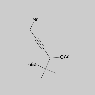 CCCCC(C)(C)C(C#CCBr)OC(C)=O